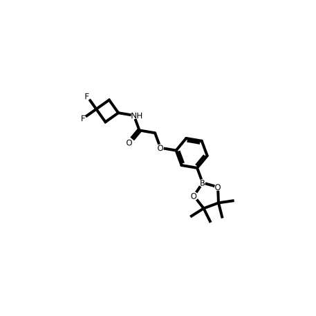 CC1(C)OB(c2cccc(OCC(=O)NC3CC(F)(F)C3)c2)OC1(C)C